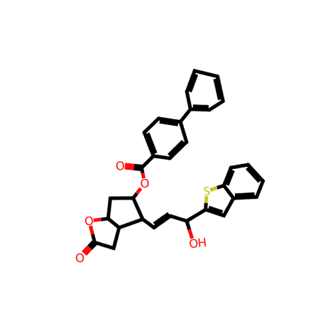 O=C1CC2C(CC(OC(=O)c3ccc(-c4ccccc4)cc3)C2C=CC(O)c2cc3ccccc3s2)O1